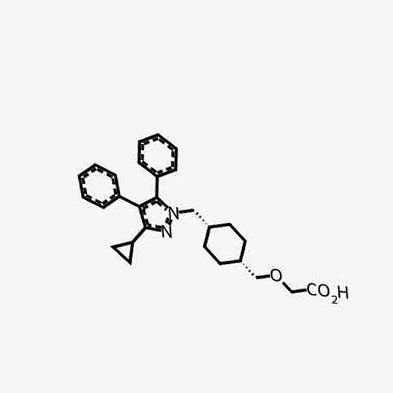 O=C(O)COC[C@H]1CC[C@@H](Cn2nc(C3CC3)c(-c3ccccc3)c2-c2ccccc2)CC1